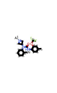 CC(=O)N1CC(N(C(=O)Nc2ccc(C)cc2OC(F)F)c2ccccc2C(C)C)C1